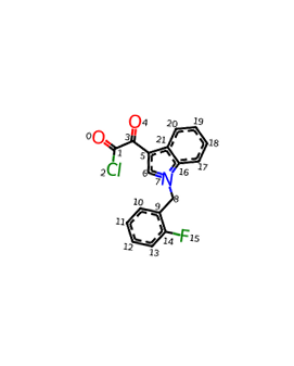 O=C(Cl)C(=O)c1cn(Cc2ccccc2F)c2ccccc12